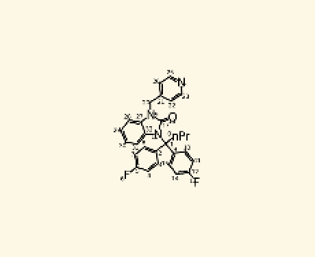 CCCC(c1ccc(F)cc1)(c1ccc(F)cc1)n1c(=O)n(Cc2ccncc2)c2ccccc21